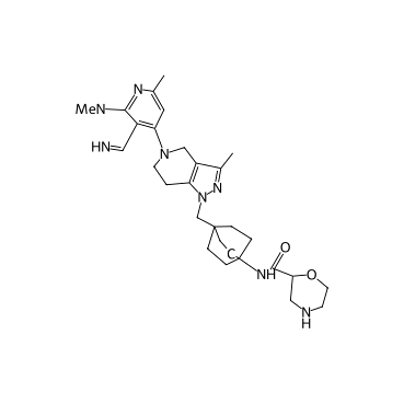 CNc1nc(C)cc(N2CCc3c(c(C)nn3CC34CCC(NC(=O)C5CNCCO5)(CC3)CC4)C2)c1C=N